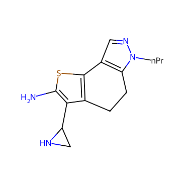 CCCn1ncc2c1CCc1c-2sc(N)c1C1CN1